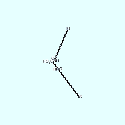 CCC=CCC=CCC=CCC=CCC=CCC=CCCC(=O)NCCCC[C@H](NC(=O)CCC=CCC=CCC=CCC=CCC=CCC=CCC)C(=O)O